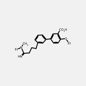 CCOc1ccc(-c2cccc(CCCC(=N)N(C)CC)c2)cc1C(=O)O